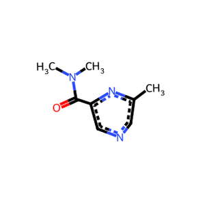 Cc1cncc(C(=O)N(C)C)n1